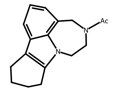 CC(=O)N1CCn2c3c(c4cccc(c42)C1)CCCC3